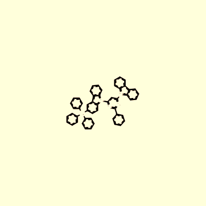 c1ccc(-c2nc(-n3c4ccccc4c4ccccc43)cc(-n3c4ccccc4c4cc([Si](c5ccccc5)(c5ccccc5)c5ccccc5)ccc43)n2)cc1